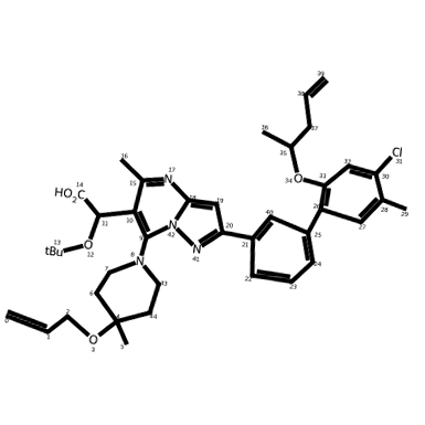 C=CCOC1(C)CCN(c2c(C(OC(C)(C)C)C(=O)O)c(C)nc3cc(-c4cccc(-c5cc(C)c(Cl)cc5OC(C)CC=C)c4)nn23)CC1